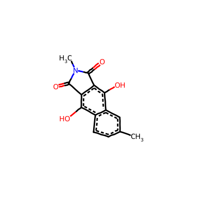 Cc1ccc2c(O)c3c(c(O)c2c1)C(=O)N(C)C3=O